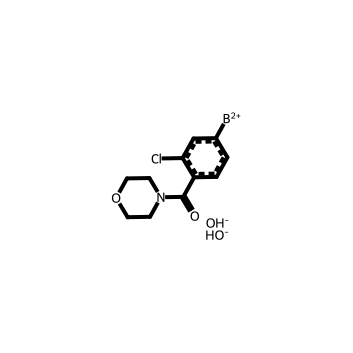 [B+2]c1ccc(C(=O)N2CCOCC2)c(Cl)c1.[OH-].[OH-]